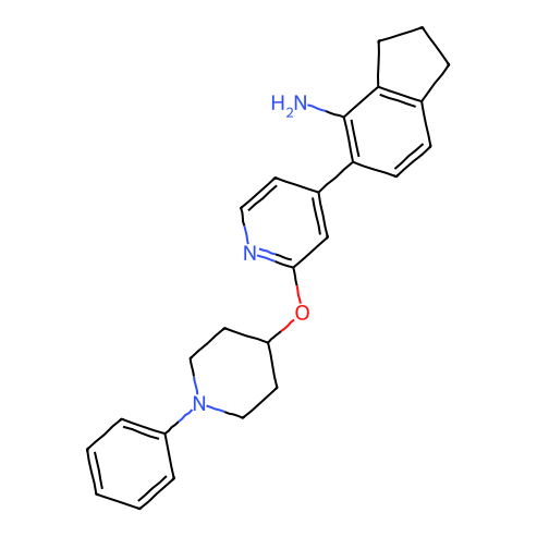 Nc1c(-c2ccnc(OC3CCN(c4ccccc4)CC3)c2)ccc2c1CCC2